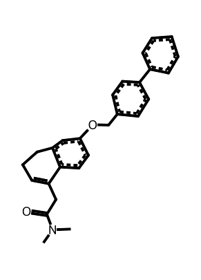 CN(C)C(=O)CC1=CCCc2cc(OCc3ccc(-c4ccccc4)cc3)ccc21